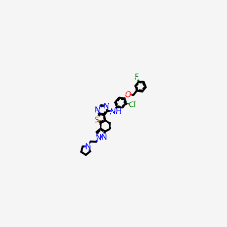 Fc1cccc(COc2ccc(Nc3ncnc4sc5c(c34)CCc3nn(CCN4CCCC4)cc3-5)cc2Cl)c1